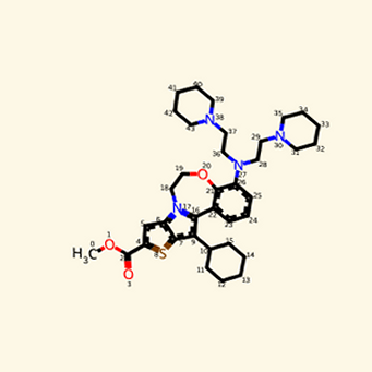 COC(=O)c1cc2c(s1)c(C1CCCCC1)c1n2CCOc2c-1cccc2N(CCN1CCCCC1)CCN1CCCCC1